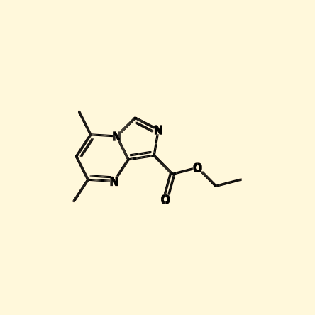 CCOC(=O)c1ncn2c(C)cc(C)nc12